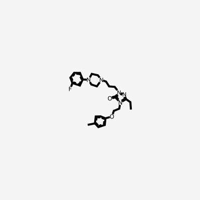 CCc1nn(CCCN2CCN(c3cccc(F)c3)CC2)c(=O)n1CCOc1ccc(C)cc1